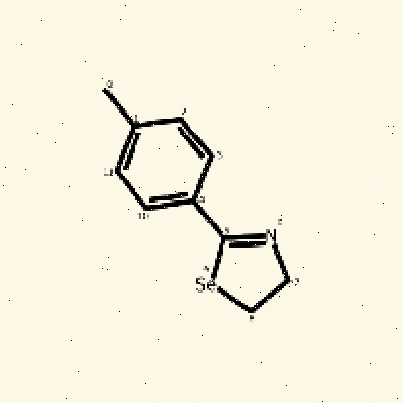 Cc1ccc(C2=NCC[Se]2)cc1